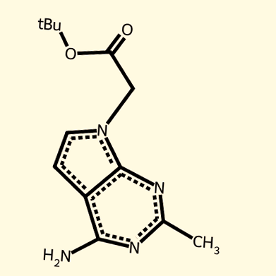 Cc1nc(N)c2ccn(CC(=O)OC(C)(C)C)c2n1